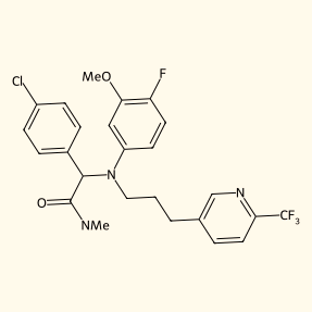 CNC(=O)C(c1ccc(Cl)cc1)N(CCCc1ccc(C(F)(F)F)nc1)c1ccc(F)c(OC)c1